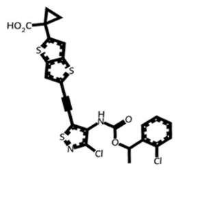 CC(OC(=O)Nc1c(Cl)nsc1C#Cc1cc2sc(C3(C(=O)O)CC3)cc2s1)c1ccccc1Cl